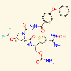 N=C(NO)c1csc(C(COC(N)=O)NC(=O)[C@@H]2C[C@@H](OC(F)F)CN2C(=O)CNC(=O)c2ccc(Oc3ccccc3)cc2)c1